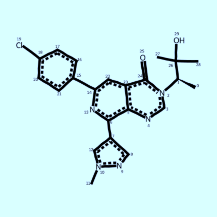 C[C@@H](n1cnc2c(-c3cnn(C)c3)nc(-c3ccc(Cl)cc3)cc2c1=O)C(C)(C)O